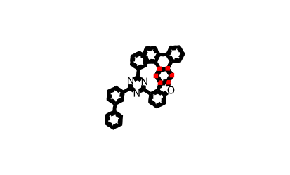 c1ccc(-c2cccc(-c3nc(-c4ccccc4)nc(-c4cccc5oc6ccc(-c7ccccc7-c7ccccc7-c7ccccc7)cc6c45)n3)c2)cc1